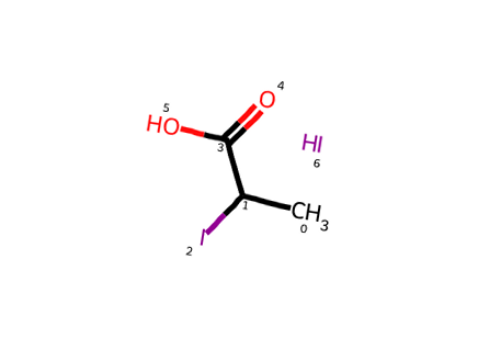 CC(I)C(=O)O.I